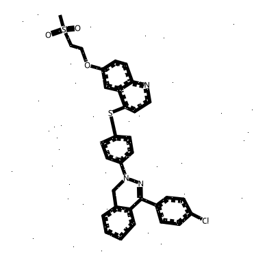 CS(=O)(=O)CCOc1ccc2nccc(Sc3ccc(N4Cc5ccccc5C(c5ccc(Cl)cc5)=N4)cc3)c2c1